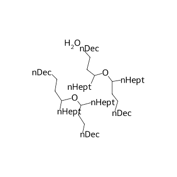 CCCCCCCCCCCCC(CCCCCCC)OC(CCCCCCC)CCCCCCCCCCCC.CCCCCCCCCCCCC(CCCCCCC)OC(CCCCCCC)CCCCCCCCCCCC.O